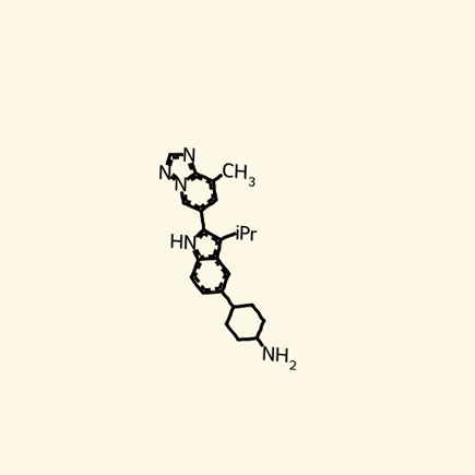 Cc1cc(-c2[nH]c3ccc(C4CCC(N)CC4)cc3c2C(C)C)cn2ncnc12